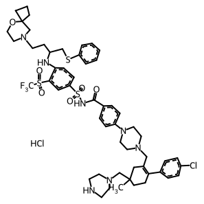 CC1(CN2CCNCC2)CCC(c2ccc(Cl)cc2)=C(CN2CCN(c3ccc(C(=O)NS(=O)(=O)c4ccc(NC(CCN5CCOC6(CCC6)C5)CSc5ccccc5)c(S(=O)(=O)C(F)(F)F)c4)cc3)CC2)C1.Cl